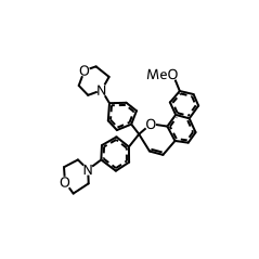 COc1ccc2ccc3c(c2c1)OC(c1ccc(N2CCOCC2)cc1)(c1ccc(N2CCOCC2)cc1)C=C3